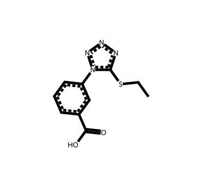 CCSc1nnnn1-c1cccc(C(=O)O)c1